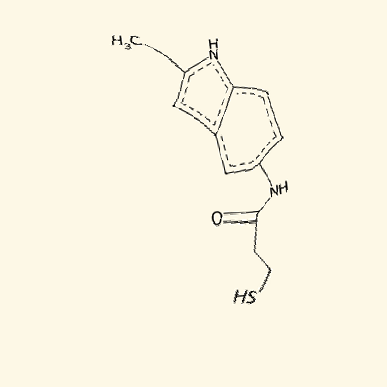 Cc1cc2cc(NC(=O)CS)ccc2[nH]1